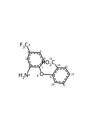 Nc1cc(C(F)(F)F)ccc1Oc1ccccc1C(=O)O